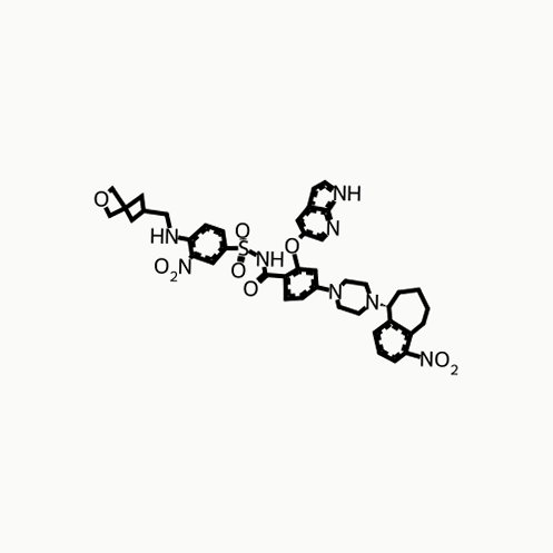 O=C(NS(=O)(=O)c1ccc(NCC2CC3(COC3)C2)c([N+](=O)[O-])c1)c1ccc(N2CCN([C@@H]3CCCCc4c3cccc4[N+](=O)[O-])CC2)cc1Oc1cnc2[nH]ccc2c1